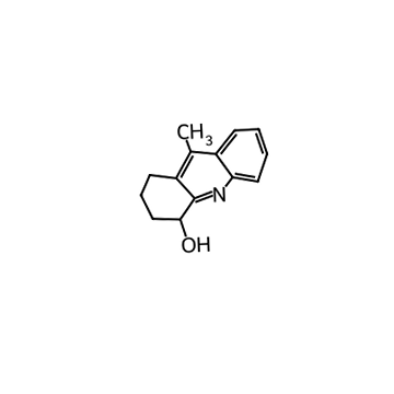 Cc1c2c(nc3ccccc13)C(O)CCC2